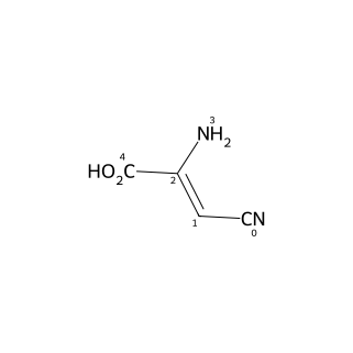 N#CC=C(N)C(=O)O